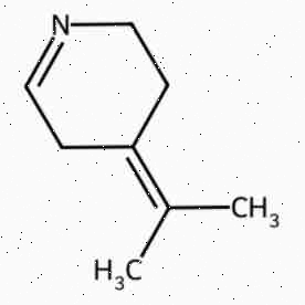 CC(C)=C1CC=NCC1